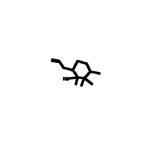 C=CCN1CCC(C)C(C)(C)C1(C)O